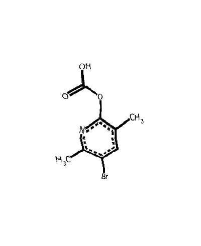 Cc1cc(Br)c(C)nc1OC(=O)O